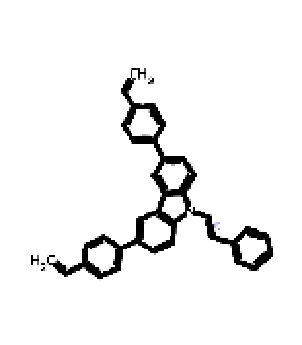 C=Cc1ccc(-c2ccc3c(c2)c2cc(-c4ccc(C=C)cc4)ccc2n3/C=C/c2ccccc2)cc1